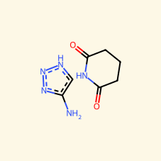 Nc1c[nH]nn1.O=C1CCCC(=O)N1